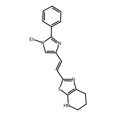 CCn1cc(C=Cc2nc3c(s2)NCCC3)nc1-c1ccccc1